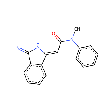 N#CN(C(=O)C=C1NC(=N)c2ccccc21)c1ccccc1